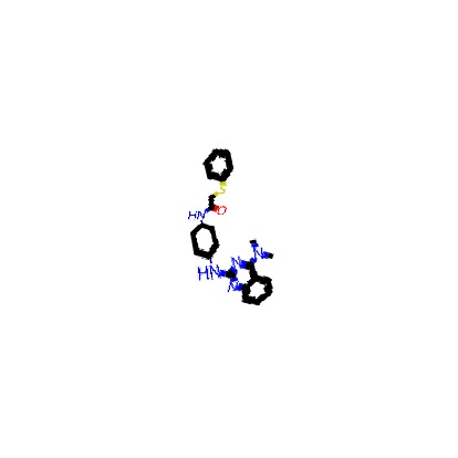 CN(C)c1nc(N[C@H]2CC[C@@H](NC(=O)CSc3ccccc3)CC2)nc2ccccc12